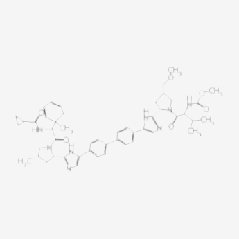 COC[C@H]1C[C@@H](c2ncc(-c3ccc(-c4ccc(-c5cnc([C@@H]6C[C@H](C)CN6C(=O)[C@H](NC(=O)C6CC6)C6(C)C=CC=CC6)[nH]5)cc4)cc3)[nH]2)N(C(=O)[C@@H](NC(=O)OC)C(C)C)C1